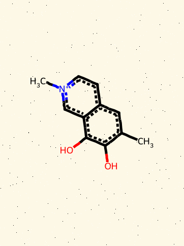 Cc1cc2cc[n+](C)cc2c(O)c1O